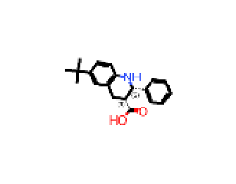 CC(C)(C)c1ccc2c(c1)C[C@@H](C(=O)O)[C@@H](c1ccccc1)N2